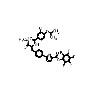 CNC(=O)C(Cc1ccc(-c2nc(C(=O)Oc3c(F)c(F)c(F)c(F)c3F)cs2)cc1)NC(=O)c1ccc(OC(C)C)c(Cl)c1